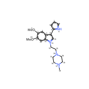 COc1cc2c(-c3ccc[nH]3)cn(CCN3CCN(C)CC3)c2cc1OC